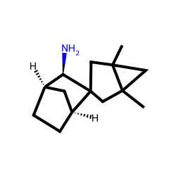 CC12CC3(CC1(C)C2)[C@H]1CC[C@H](C1)[C@H]3N